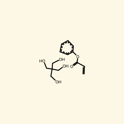 C=CC(=O)Oc1ccccc1.OCC(CO)(CO)CO